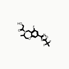 CC1COc2cc(-c3noc(C(C)(F)F)n3)cc(F)c2CN1C(=O)CO